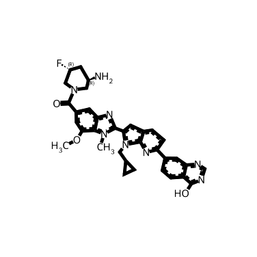 COc1cc(C(=O)N2C[C@H](N)C[C@@H](F)C2)cc2nc(-c3cc4ccc(-c5ccc6c(O)ncnc6c5)nc4n3CC3CC3)n(C)c12